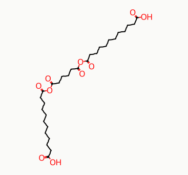 O=C(O)CCCCCCCCCCC(=O)OC(=O)CCCCC(=O)OC(=O)CCCCCCCCCCC(=O)O